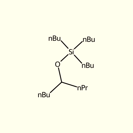 CCCCC(CCC)O[Si](CCCC)(CCCC)CCCC